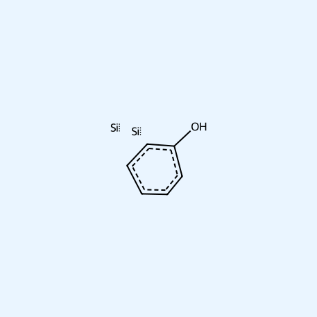 Oc1ccccc1.[Si].[Si]